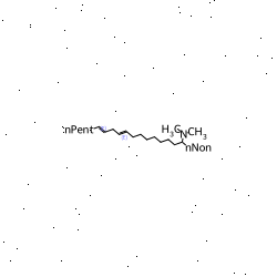 CCCCC/C=C/C/C=C/CCCCCCCC(CCCCCCCCC)N(C)C